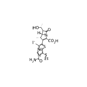 CCSc1c2sc(C3=C(C(=O)O)N4C(=O)[C@H]([C@@H](C)O)[C@H]4[C@H]3C)c(C)[n+]2cn1C(N)=O.[I-]